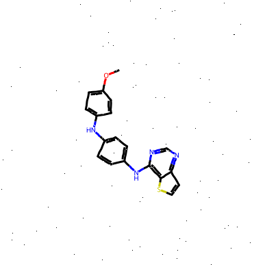 COc1ccc(Nc2ccc(Nc3ncnc4ccsc34)cc2)cc1